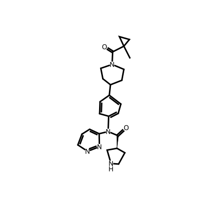 CC1(C(=O)N2CCC(c3ccc(N(C(=O)[C@H]4CCNC4)c4cccnn4)cc3)CC2)CC1